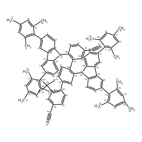 Cc1cc(C)c(-c2ccc3c(c2)c2cc(-c4c(C)cc(C)cc4C)ccc2n3-c2ccc(C#N)cc2-c2ccc(-c3ccc(C#N)cc3C(F)(F)F)cc2-n2c3ccc(-c4c(C)cc(C)cc4C)cc3c3cc(-c4c(C)cc(C)cc4C)ccc32)c(C)c1